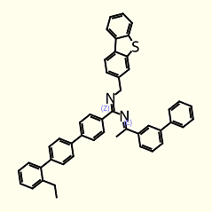 CCc1ccccc1-c1ccc(-c2ccc(C(=N/Cc3ccc4c(c3)sc3ccccc34)/N=C(\C)c3cccc(-c4ccccc4)c3)cc2)cc1